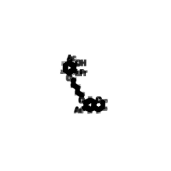 CCCc1c(OCCCCCOc2cc3c(cc2C(C)=O)CCCO3)ccc(C(C)=O)c1O